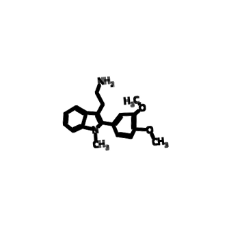 COc1ccc(-c2c(CCN)c3ccccc3n2C)cc1OC